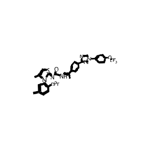 CCCc1ccc(C)cc1-n1c(C)cs/c1=N\C(=O)N/C=C(\C)c1ccc(-c2ncn(-c3ccc(OC(F)(F)F)cc3)n2)cc1